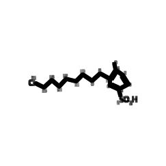 Cc1ccc(S(=O)(=O)O)cc1CCCCCCCCCl